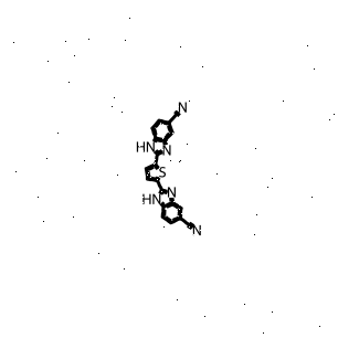 N#Cc1ccc2[nH]c(-c3ccc(-c4nc5cc(C#N)ccc5[nH]4)s3)nc2c1